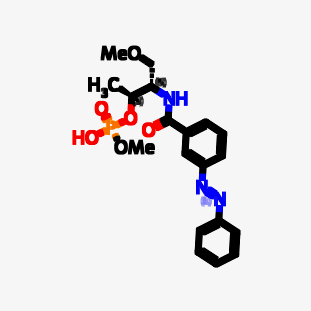 COC[C@H](NC(=O)c1cccc(/N=N/c2ccccc2)c1)[C@H](C)OP(=O)(O)OC